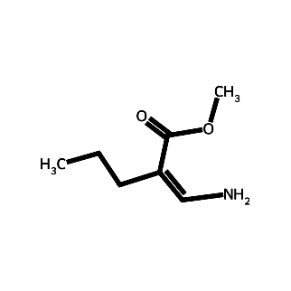 CCCC(=CN)C(=O)OC